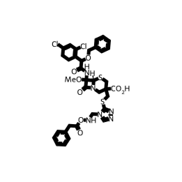 COC1(NC(=O)C(OCc2ccccc2)C2=C(Cl)C=C(Cl)CC2)C(=O)N2CC(CSc3nncn3CNOC(=O)Cc3ccccc3)(C(=O)O)CS[C@@H]21